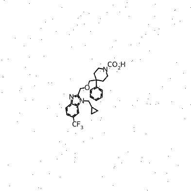 O=C(O)N1CCC(COCc2nc3ccc(C(F)(F)F)cc3n2CC2CC2)(c2ccccc2)CC1